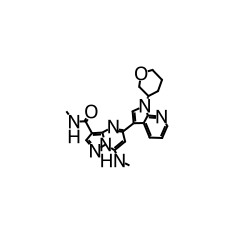 CNC(=O)c1cnn2c(NC)cc(-c3cn([C@@H]4CCCOC4)c4ncccc34)nc12